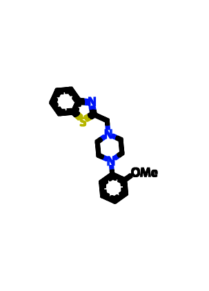 COc1ccccc1N1CCN(Cc2nc3ccccc3s2)CC1